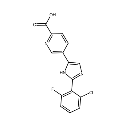 O=C(O)c1ccc(-c2cnc(-c3c(F)cccc3Cl)[nH]2)cn1